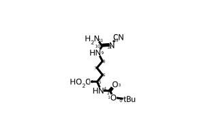 CC(C)(C)OC(=O)NC(CCCNC(N)=NC#N)C(=O)O